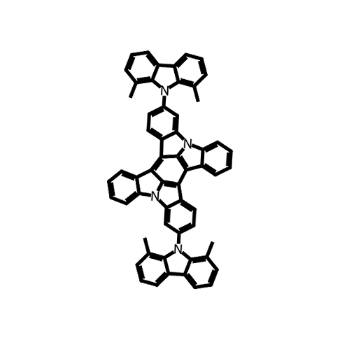 Cc1cccc2c3cccc(C)c3n(-c3ccc4c5c6c7ccccc7n7c8cc(-n9c%10c(C)cccc%10c%10cccc(C)c%109)ccc8c(c8c9ccccc9n(c4c3)c85)c67)c12